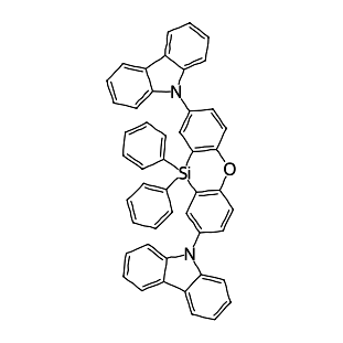 c1ccc([Si]2(c3ccccc3)c3cc(-n4c5ccccc5c5ccccc54)ccc3Oc3ccc(-n4c5ccccc5c5ccccc54)cc32)cc1